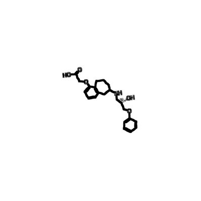 O=C(O)COc1cccc2c1CCCC(NC[C@H](O)COc1ccccc1)C2